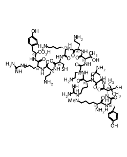 CNCCCC[C@H](N)C(=O)N[C@@H](Cc1ccc(O)cc1)C(=O)N[C@H](C(=O)N[C@@H](CC(N)=O)C(=O)N[C@@H](CCCNC(=N)N)C(=O)N[C@@H](CCN)C(=O)N[C@H](C(=O)N[C@H](CCN)C(=O)N[C@@H](CCCCN)C(=O)N[C@@H](CS)C(=O)N[C@@H](CCN)C(=O)N[C@@H](CCCNC(=N)N)C(=O)N[C@@H](Cc1ccc(O)cc1)C(=O)O)[C@@H](C)O)C(C)(C)S